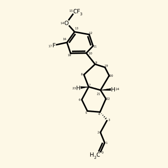 C=CCC[C@@H]1CC[C@@H]2CC(c3ccc(OC(F)(F)F)c(F)c3)CC[C@@H]2C1